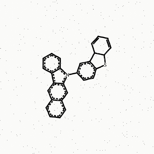 C1=CC2Sc3ccc(-n4c5ccccc5c5cc6ccccc6cc54)cc3C2C=C1